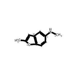 CBc1ccc2oc(C)cc2c1